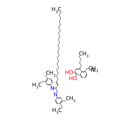 CCCCCCCCCCCCCCCCCCCCCCCCC=CC(C=Nc1ccc(CC)c(CC)c1)=Nc1ccc(CC)c(CC)c1.CCCCCc1cc(O)c(O)c2cccc(CC)c12.[Ni]